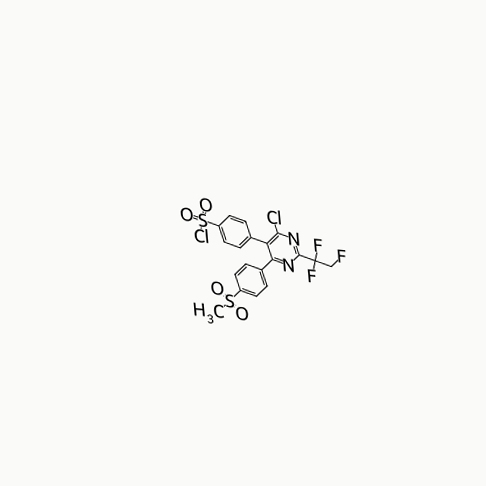 CS(=O)(=O)c1ccc(-c2nc(C(F)(F)CF)nc(Cl)c2-c2ccc(S(=O)(=O)Cl)cc2)cc1